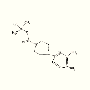 CC(C)(C)OC(=O)N1CCC(c2ccc(N)c(N)n2)CC1